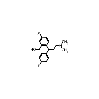 CN(C)CCC(c1ccc(F)cc1)c1ccc(Br)cc1CO